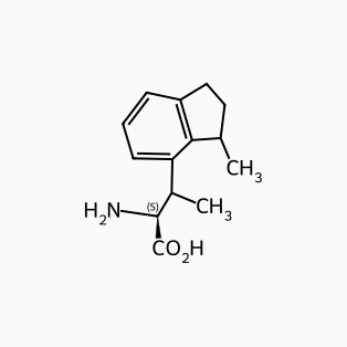 CC1CCc2cccc(C(C)[C@H](N)C(=O)O)c21